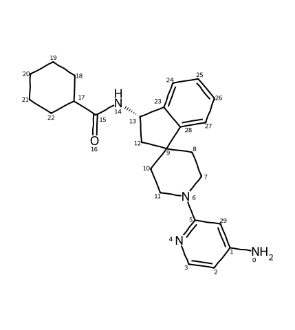 Nc1ccnc(N2CCC3(CC2)C[C@H](NC(=O)C2CCCCC2)c2ccccc23)c1